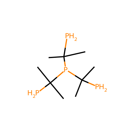 CC(C)(P)P(C(C)(C)P)C(C)(C)P